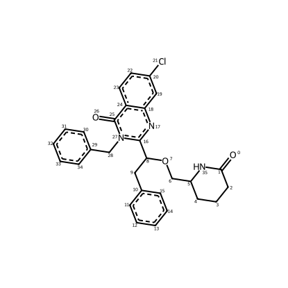 O=C1CCCC(COC(Cc2ccccc2)c2nc3cc(Cl)ccc3c(=O)n2Cc2ccccc2)N1